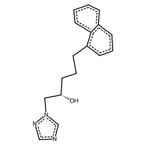 O[C@@H](CCCc1cccc2ccccc12)Cn1cncn1